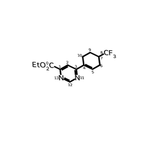 CCOC(=O)c1cc(C2=CCC(C(F)(F)F)CC2)ncn1